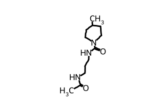 CC(=O)NCCCNC(=O)N1CCC(C)CC1